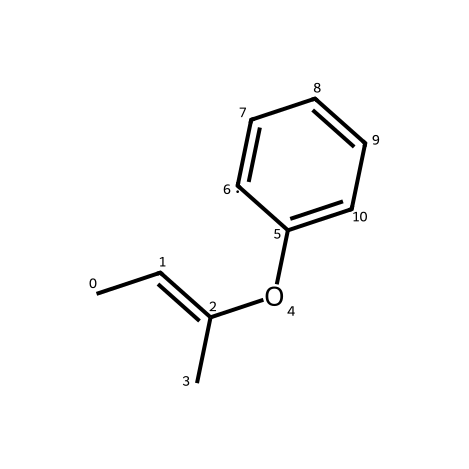 CC=C(C)Oc1[c]cccc1